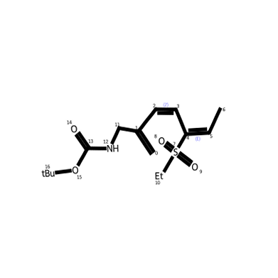 C=C(/C=C\C(=C/C)S(=O)(=O)CC)CNC(=O)OC(C)(C)C